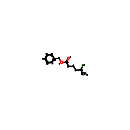 C[C@H](F)CCCC(=O)OCc1ccccc1